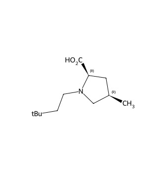 C[C@@H]1C[C@H](C(=O)O)N(CCC(C)(C)C)C1